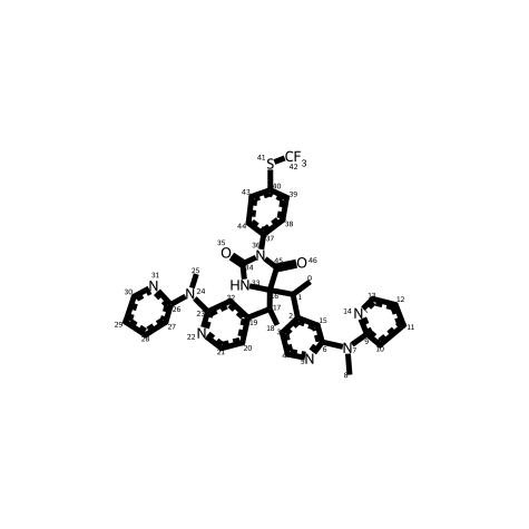 CC(c1ccnc(N(C)c2ccccn2)c1)C1(C(C)c2ccnc(N(C)c3ccccn3)c2)NC(=O)N(c2ccc(SC(F)(F)F)cc2)C1=O